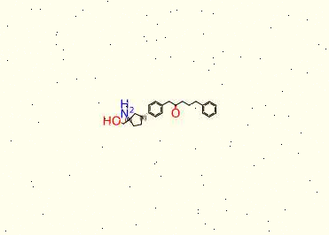 N[C@]1(CO)CC[C@@H](c2ccc(CC(=O)CCCc3ccccc3)cc2)C1